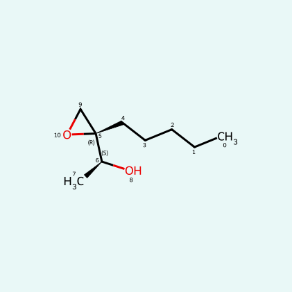 CCCCC[C@]1([C@H](C)O)CO1